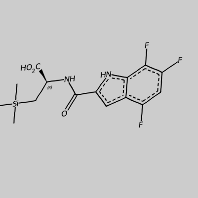 C[Si](C)(C)C[C@H](NC(=O)c1cc2c(F)cc(F)c(F)c2[nH]1)C(=O)O